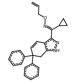 C=CCON=C(c1n[nH]c2c1C=CC(c1ccccc1)(c1ccccc1)C2)C1CC1